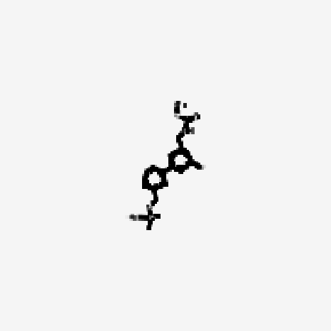 CC(C)(C)OC(=O)NCc1cc(F)cc(-c2cccc(CO[Si](C)(C)C(C)(C)C)c2)c1